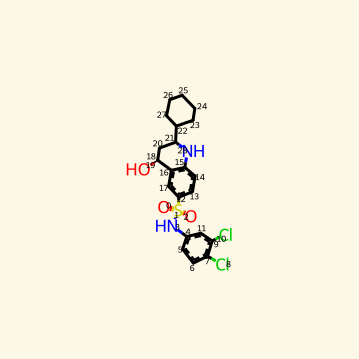 O=S(=O)(Nc1ccc(Cl)c(Cl)c1)c1ccc2c(c1)[C@@H](O)CC(C1CCCCC1)N2